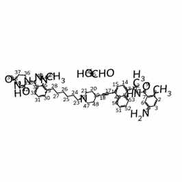 Cc1ccc(N)cc1C(=O)N[C@H](C)c1ccc(C#CC2CCN(CCCCCCc3cccc4c(N5CCC(=O)NC5=O)nn(C)c34)CC2)c2ccccc12.O=CO